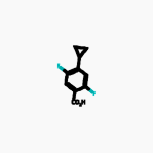 O=C(O)c1cc(F)c(C2CC2)cc1F